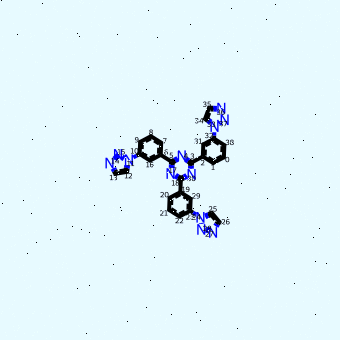 c1cc(-c2nc(-c3cccc(-n4ccnn4)c3)nc(-c3cccc(-n4ccnn4)c3)n2)cc(-n2ccnn2)c1